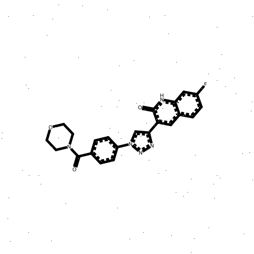 O=C(c1ccc(-n2cc(-c3cc4ccc(F)cc4[nH]c3=O)nn2)cc1)N1CCOCC1